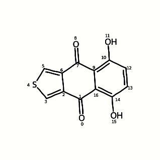 O=C1c2cscc2C(=O)c2c(O)ccc(O)c21